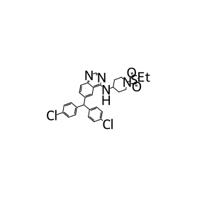 CCS(=O)(=O)N1CCC(Nc2ncnc3ccc(C(c4ccc(Cl)cc4)c4ccc(Cl)cc4)cc23)CC1